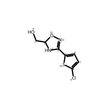 OCC1NC(c2ccc(Cl)s2)=NO1